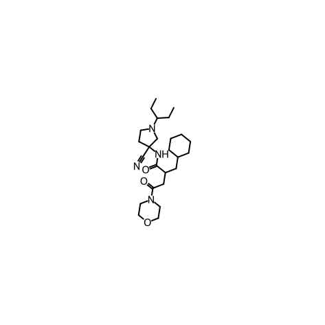 CCC(CC)N1CCC(C#N)(NC(=O)C(CC(=O)N2CCOCC2)CC2CCCCC2)C1